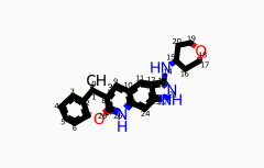 C[C@H](c1ccccc1)c1cc2cc3c(NC4CCOCC4)n[nH]c3cc2[nH]c1=O